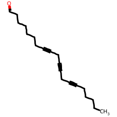 CCCCCC#CCC#CCC#CCCCCCCC=O